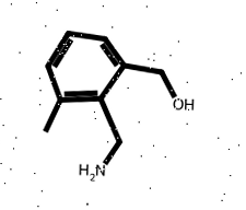 Cc1cccc(CO)c1CN